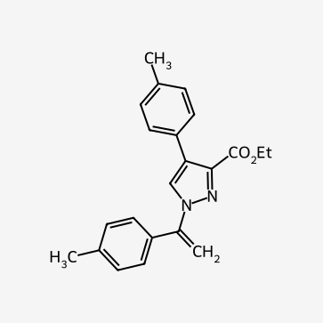 C=C(c1ccc(C)cc1)n1cc(-c2ccc(C)cc2)c(C(=O)OCC)n1